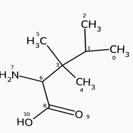 CC(C)C(C)(C)C(N)C(=O)O